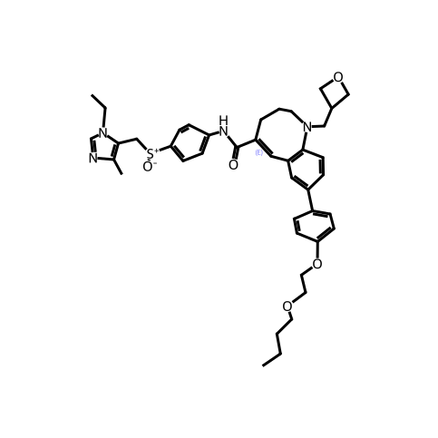 CCCCOCCOc1ccc(-c2ccc3c(c2)/C=C(/C(=O)Nc2ccc([S+]([O-])Cc4c(C)ncn4CC)cc2)CCCN3CC2COC2)cc1